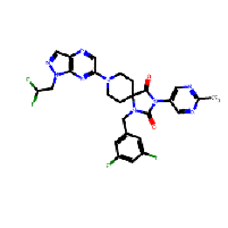 O=C1N(c2cnc(C(F)(F)F)nc2)C(=O)C2(CCN(c3cnc4cnn(CC(F)F)c4n3)CC2)N1Cc1cc(F)cc(F)c1